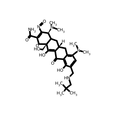 CN(C)c1cc(CNCC(C)(C)C)c(O)c2c1C[C@H]1CC3[C@H](N(C)C)C(N=O)=C(C(N)=O)C(=O)[C@@]3(CO)C(O)=C1C2=O